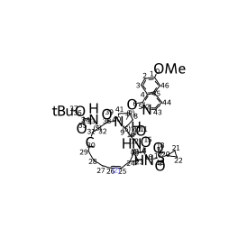 COc1ccc2c(O[C@@H]3C[C@H]4C(=O)N[C@]5(C(=O)NS(=O)(=O)C6CC6)CC5/C=C\CCCCC[C@H](NC(=O)OC(C)(C)C)C(=O)N4C3)nccc2c1